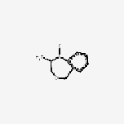 CC1COCc2ccccc2N1C